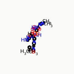 CC(C)c1ccccc1[C@@H]1COCCN1C1CC2(CCN(c3ccc(C(=O)NS(=O)(=O)c4cc5c(c([N+](=O)[O-])c4)N[C@@H](CN4CCN(C(C)C)CC4)CO5)c(N4c5cc6cc[nH]c6nc5O[C@H]5COCC[C@@H]54)c3)CC2)C1